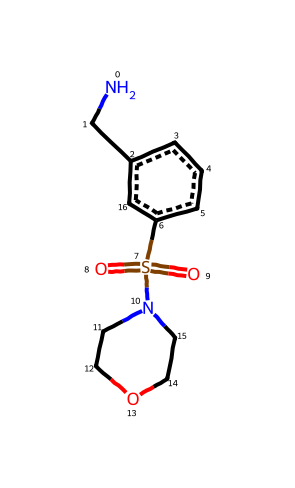 NCc1cccc(S(=O)(=O)N2CCOCC2)c1